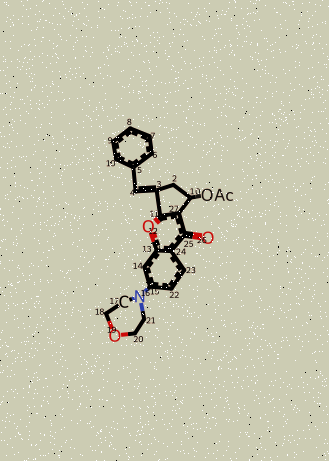 CC(=O)OC1CC(=Cc2ccccc2)c2oc3cc(N4CCOCC4)ccc3c(=O)c21